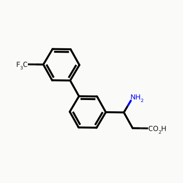 NC(CC(=O)O)c1cccc(-c2cccc(C(F)(F)F)c2)c1